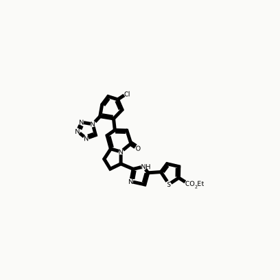 CCOC(=O)c1ccc(-c2cnc(C3CCc4cc(-c5cc(Cl)ccc5-n5cnnn5)cc(=O)n43)[nH]2)s1